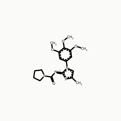 COc1cc(-n2cc(C)s/c2=N\C(=O)N2CCCC2)cc(OC)c1OC